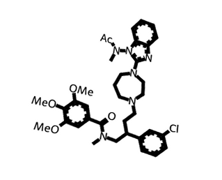 COc1cc(C(=O)N(C)CC(CCN2CCCN(c3nc4ccccc4n3N(C)C(C)=O)CC2)c2cccc(Cl)c2)cc(OC)c1OC